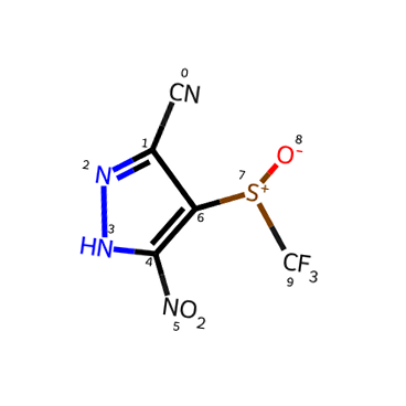 N#Cc1n[nH]c([N+](=O)[O-])c1[S+]([O-])C(F)(F)F